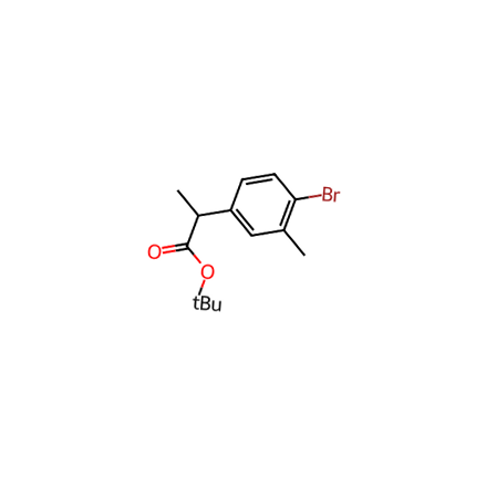 Cc1cc(C(C)C(=O)OC(C)(C)C)ccc1Br